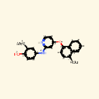 COc1cc(Nc2cc(Oc3ccc(C(C)(C)C)c4ccccc34)ccn2)ccc1O